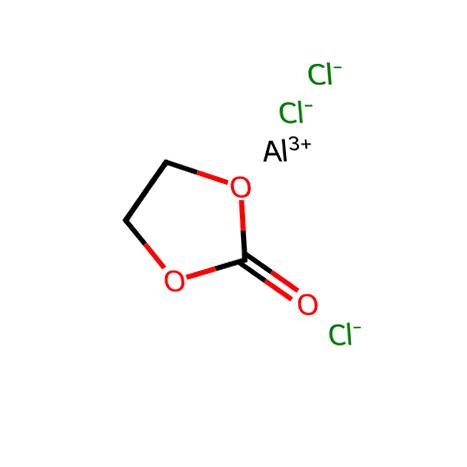 O=C1OCCO1.[Al+3].[Cl-].[Cl-].[Cl-]